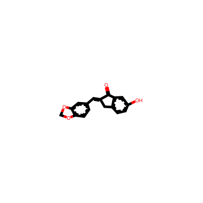 O=C1/C(=C/c2ccc3c(c2)OCO3)Cc2ccc(O)cc21